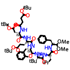 COC(OC)[C@H](Cc1ccccc1)NC(=O)[C@H](CC(C)C)NC(=O)[C@@H](NC(=O)[C@H](Cc1ccccc1C)NC(=O)[C@H](CCC(=O)OC(C)(C)C)NC(=O)[C@H](CC(=O)OC(C)(C)C)NC(=O)CCC(=O)OC(C)(C)C)C(C)(C)C